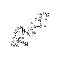 C[C@@H]1CN(c2cc(-n3ncc4ccc([C@]5(C#N)CC56CC6)cc43)ncn2)CCN1C1CCOC1